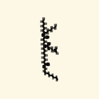 CCCCCC/C=C\COC(=O)CCCCCCCN(CCCC(=O)OC(CCCCCC)CCCCCC)C(=O)SCCN(C)C